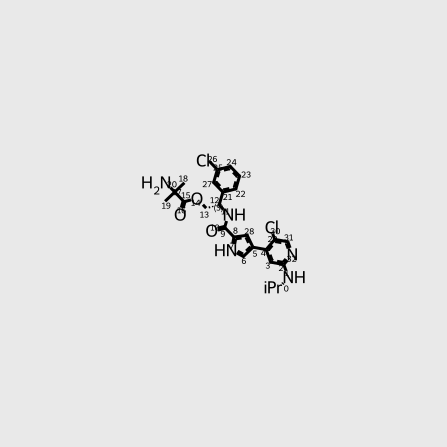 CC(C)Nc1cc(-c2c[nH]c(C(=O)N[C@H](COC(=O)C(C)(C)N)c3cccc(Cl)c3)c2)c(Cl)cn1